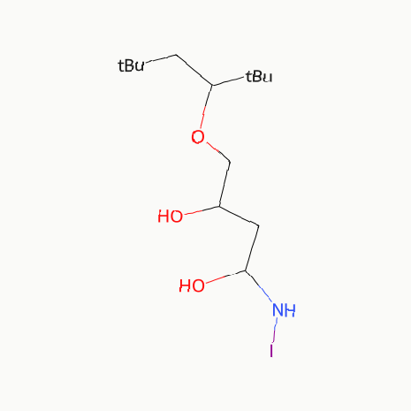 CC(C)(C)CC(OCC(O)CC(O)NI)C(C)(C)C